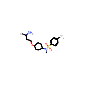 CCC(N)CCOC1CCC(N(C)S(=O)(=O)c2ccc(C(F)(F)F)cc2)CC1